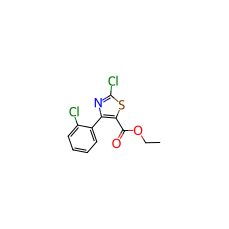 CCOC(=O)c1sc(Cl)nc1-c1ccccc1Cl